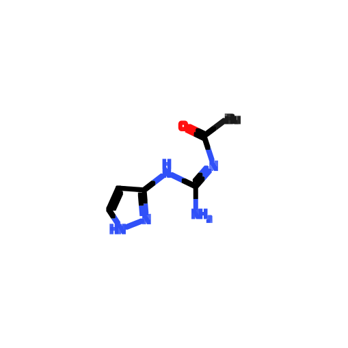 CCC(C)C(=O)/N=C(/N)Nc1cc[nH]n1